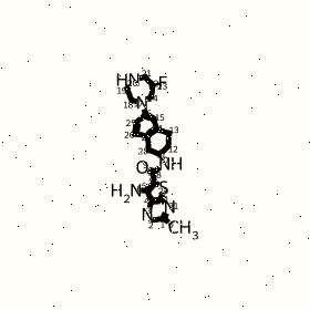 Cc1cnc2c(N)c(C(=O)N[C@H]3CCc4cc(N5CCNC[C@@H](F)C5)ccc4C3)sc2n1